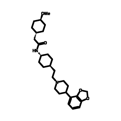 CO[C@H]1CC[C@H](CC(=O)N[C@H]2CC[C@H](CCN3CCC(c4cccc5c4OCO5)CC3)CC2)CC1